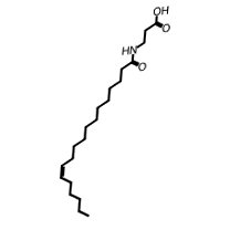 CCCCC/C=C\CCCCCCCCCCC(=O)NCCC(=O)O